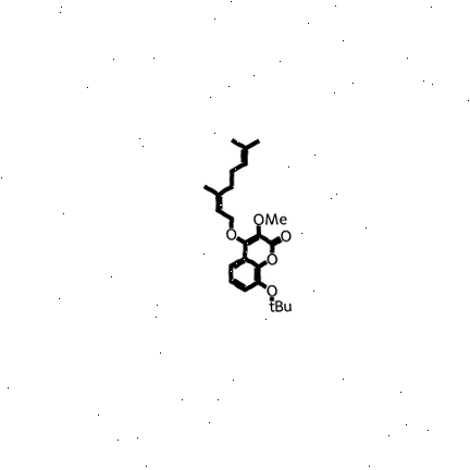 COc1c(OCC=C(C)CCC=C(C)C)c2cccc(OC(C)(C)C)c2oc1=O